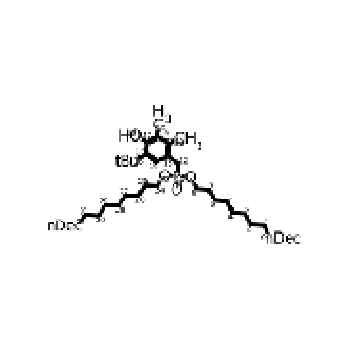 CCCCCCCCCCCCCCCCCCOP(=O)(Cc1cc(C(C)(C)C)c(O)c(C)c1C)OCCCCCCCCCCCCCCCCCC